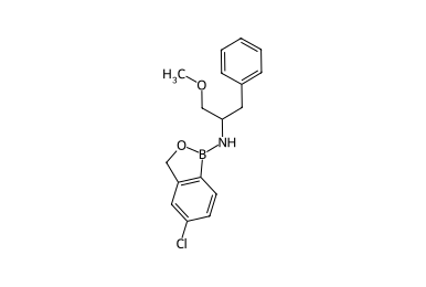 COCC(Cc1ccccc1)NB1OCc2cc(Cl)ccc21